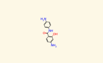 Nc1ccc(NC(=O)c2ccc(N)cc2O)cc1